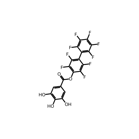 O=C(Oc1c(F)c(F)c(-c2c(F)c(F)c(F)c(F)c2F)c(F)c1F)c1cc(O)c(O)c(O)c1